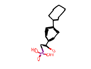 O=C(CP(=O)(O)O)c1ccc(C2CCCCC2)cc1